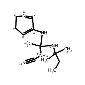 CCC(C)(C)NC(C)(NC#N)NC1=CCCN=C1